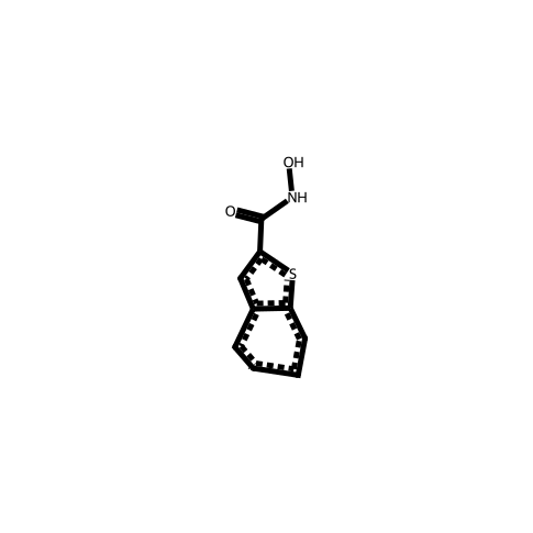 O=C(NO)c1cc2c[c]ccc2s1